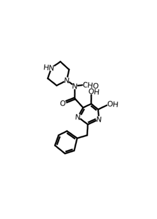 O=CN(C(=O)c1nc(Cc2ccccc2)nc(O)c1O)N1CCNCC1